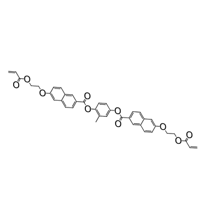 C=CC(=O)OCCOc1ccc2cc(C(=O)Oc3ccc(OC(=O)c4ccc5cc(OCCOC(=O)C=C)ccc5c4)c(C)c3)ccc2c1